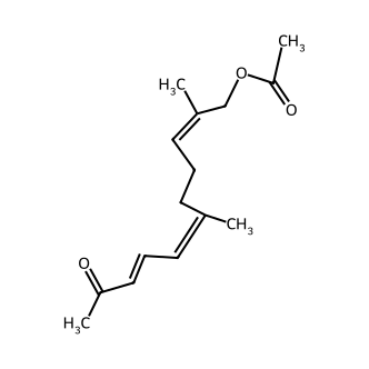 CC(=O)C=CC=C(C)CCC=C(C)COC(C)=O